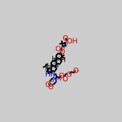 C=C(C)[C@@H]1CC[C@]2(NCC([C@@H](C)OC(=O)COCCOC)N3CCS(=O)(=O)CC3)CC[C@]3(C)[C@H](CC[C@@H]4[C@@]5(C)CC[C@H](OC(=O)[C@H]6C[C@@H](C(=O)O)C6(C)C)C(C)(C)[C@@H]5CC[C@]43C)[C@@H]12